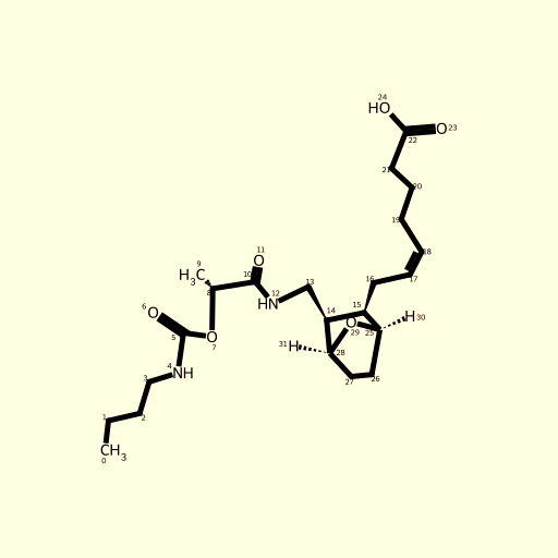 CCCCNC(=O)O[C@H](C)C(=O)NC[C@H]1[C@@H](C/C=C\CCCC(=O)O)[C@H]2CC[C@@H]1O2